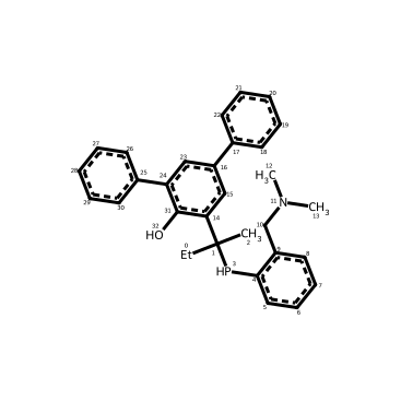 CCC(C)(Pc1ccccc1CN(C)C)c1cc(-c2ccccc2)cc(-c2ccccc2)c1O